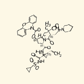 C=C[C@@H]1C[C@]1(NC(=O)[C@@H]1C[C@@H](OC(=O)N2c3ccccc3Oc3ccccc32)CN1C(=O)[C@@H](CC(=O)N1CCCCC1)C(C)(C)C)C(=O)NS(=O)(=O)C1CC1